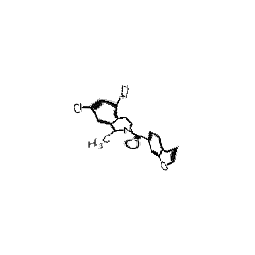 CC1c2cc(Cl)cc(Cl)c2CCN1C(=O)c1ccc2ccoc2c1